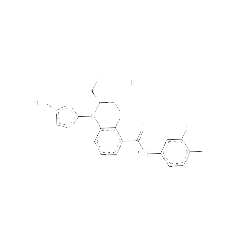 Cc1cnc(N2c3cccc(C(=O)Nc4ccc(Cl)c(Cl)c4)c3OC[C@@H]2CO)s1.Cl